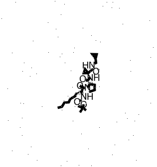 CCCCCCC[C@H](NC(=O)OC(C)(C)C)C(=O)N1CCC[C@H]1C(=O)NC1(C(=O)NCC2CC2)CC1